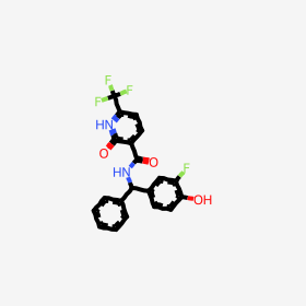 O=C(NC(c1ccccc1)c1ccc(O)c(F)c1)c1ccc(C(F)(F)F)[nH]c1=O